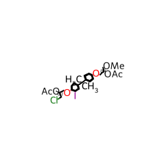 COC[C@@H](COc1ccc(C(C)(C)c2ccc(OC[C@@H](CCl)OC(C)=O)c(I)c2)cc1)OC(C)=O